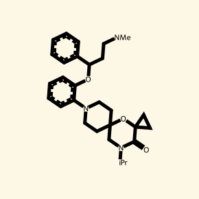 CNCCC(Oc1ccccc1N1CCC2(CC1)CN(C(C)C)C(=O)C1(CC1)O2)c1ccccc1